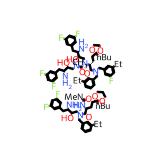 CCCCC1(CCC(NC(=O)NC)C(=O)N(Cc2cccc(CC)c2)C[C@@H](O)[C@@H](N)Cc2cc(F)cc(F)c2)OCCCO1.CCCCC1(CC[C@H](C(=O)N(Cc2cccc(CC)c2)Cc2cc(F)cc(CC)c2)N(C[C@@H](O)[C@@H](N)Cc2cc(F)cc(F)c2)C(=O)N(C)C[C@@H](O)[C@@H](N)Cc2cc(F)cc(F)c2)OCCO1